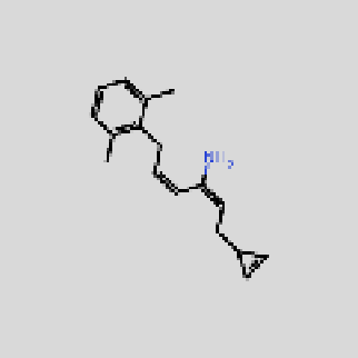 Cc1cccc(C)c1C/C=C\C(N)=C/CC1C=C1